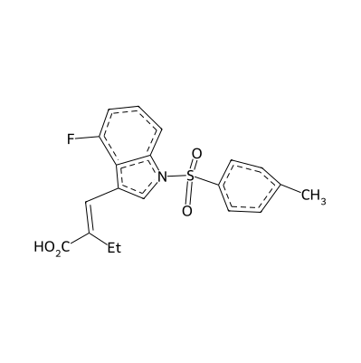 CC/C(=C\c1cn(S(=O)(=O)c2ccc(C)cc2)c2cccc(F)c12)C(=O)O